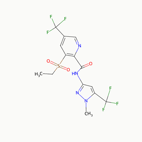 CCS(=O)(=O)c1cc(C(F)(F)F)cnc1C(=O)Nc1cc(C(F)(F)F)n(C)n1